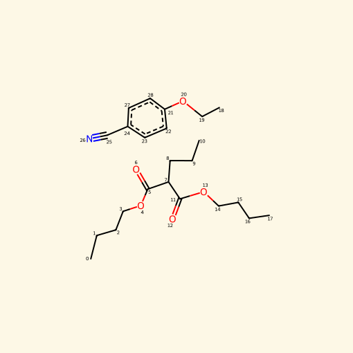 CCCCOC(=O)C(CCC)C(=O)OCCCC.CCOc1ccc(C#N)cc1